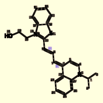 CC(C)N1C=C/C(=C\C=C\c2sc3ccccc3[n+]2CCO)c2ccccc21